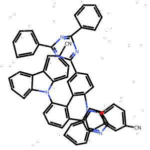 N#Cc1ccc2c(c1)c1ccccc1n2-c1ccc(-c2nc(-c3ccccc3)nc(-c3ccccc3)n2)cc1-c1c(-c2cccnc2)cccc1-n1c2ccccc2c2cc(C#N)ccc21